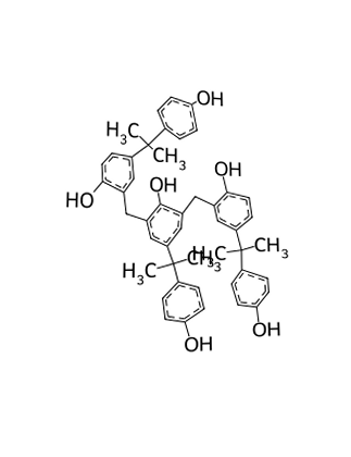 CC(C)(c1ccc(O)cc1)c1ccc(O)c(Cc2cc(C(C)(C)c3ccc(O)cc3)cc(Cc3cc(C(C)(C)c4ccc(O)cc4)ccc3O)c2O)c1